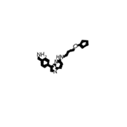 NCc1ccc(-c2cnc3ccc(NCCCOC4CCCC4)nn23)cc1